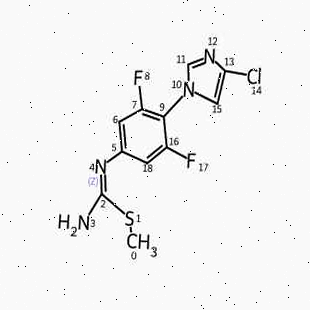 CS/C(N)=N\c1cc(F)c(-n2cnc(Cl)c2)c(F)c1